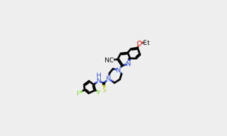 CCOc1ccc2nc(N3CCCN(C(=S)Nc4ccc(F)cc4F)CC3)c(C#N)cc2c1